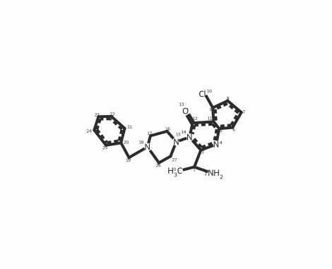 CC(N)c1nc2cccc(Cl)c2c(=O)n1N1CCN(Cc2ccccc2)CC1